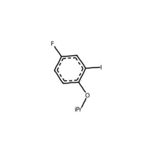 CC(C)Oc1ccc(F)cc1I